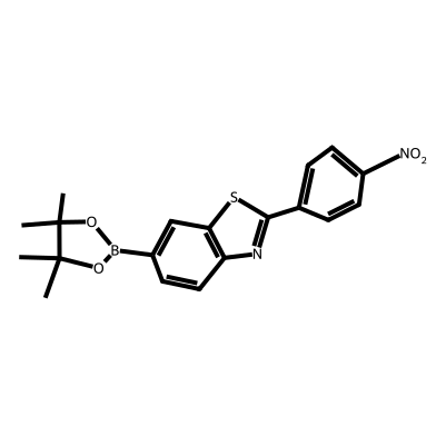 CC1(C)OB(c2ccc3nc(-c4ccc([N+](=O)[O-])cc4)sc3c2)OC1(C)C